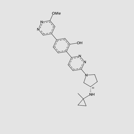 COc1cc(-c2ccc(-c3ccc(N4CC[C@H](NC5(C)CC5)C4)nn3)c(O)c2)cnn1